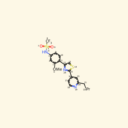 COc1cc(NS(=O)(=O)C(F)(F)F)ccc1-c1csc(-c2ccnc(CC(C)C)c2)n1